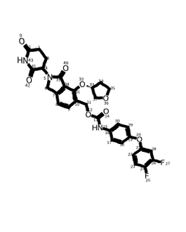 O=C1CCC(N2Cc3ccc(COC(=O)Nc4ccc(Oc5ccc(F)c(F)c5)cc4)c(O[C@@H]4CCOC4)c3C2=O)C(=O)N1